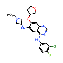 O=C(O)N1CC(Nc2cc3c(Nc4ccc(F)c(Cl)c4)ncnc3cc2OC2CCOC2)C1